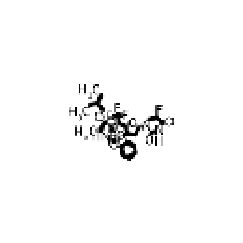 CCC(CC)COC(=O)[C@H](C)N[P@@](=O)(Oc1ccccc1)O[C@@H]([C@H]1O[C@@H](n2cc(F)c(=O)[nH]c2=O)C[C@@H]1O)C(F)(F)F